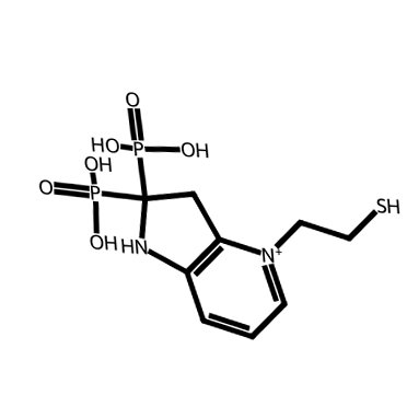 O=P(O)(O)C1(P(=O)(O)O)Cc2c(ccc[n+]2CCS)N1